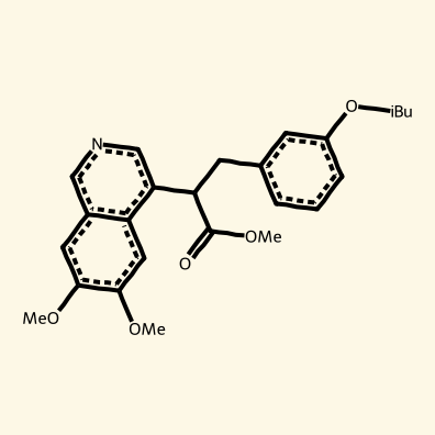 CCC(C)Oc1cccc(CC(C(=O)OC)c2cncc3cc(OC)c(OC)cc23)c1